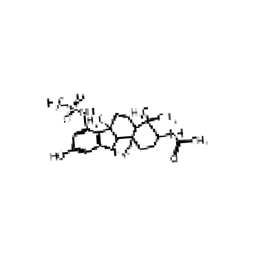 CC(=O)NC1CCC2(C)C3Cc4cc(O)cc(NS(C)(=O)=O)c4C3(C)CCC2C1(C)C